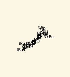 CC(C)(C)OC(=O)C[C@H](NC(=O)Oc1ccc(OC(=O)c2ccc(NC(=NC(=O)OC(C)(C)C)NC(=O)OC(C)(C)C)cc2)cc1)C(=O)OC(C)(C)C